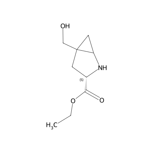 CCOC(=O)[C@@H]1CC2(CO)CC2N1